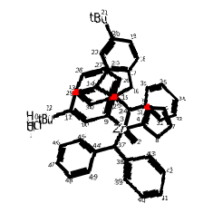 Cl.Cl.[CH2]=[Zr]([C]1=CC=CC1)([c]1cc(C(C)(C)C)cc2c1Cc1ccc(C(C)(C)C)cc1-2)([CH](c1ccccc1)c1ccccc1)[CH](c1ccccc1)c1ccccc1